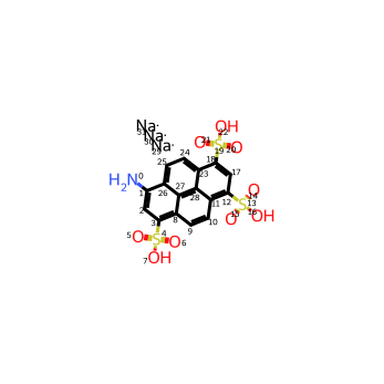 Nc1cc(S(=O)(=O)O)c2ccc3c(S(=O)(=O)O)cc(S(=O)(=O)O)c4ccc1c2c43.[Na].[Na].[Na]